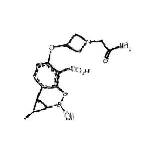 CC1C2B(O)Oc3c(ccc(OC4CN(CC(N)=O)C4)c3C(=O)O)C12